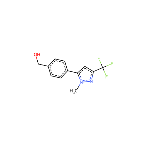 Cn1nc(C(F)(F)F)cc1-c1ccc(CO)cc1